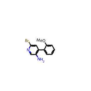 COc1ccccc1-c1cc(Br)ncc1N